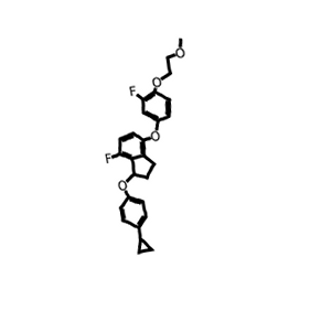 COCCOc1ccc(Oc2ccc(F)c3c2CCC3Oc2ccc(C3CC3)cc2)cc1F